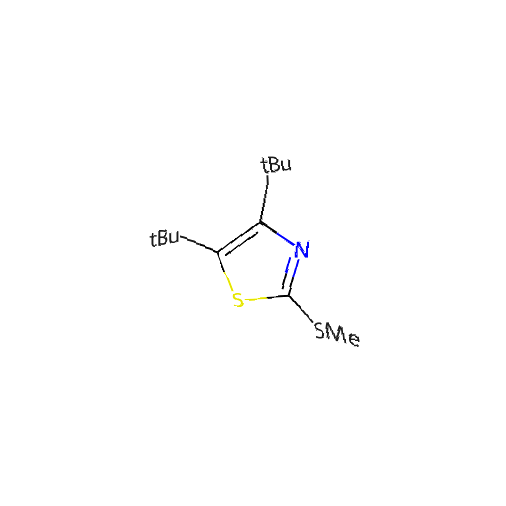 CSc1nc(C(C)(C)C)c(C(C)(C)C)s1